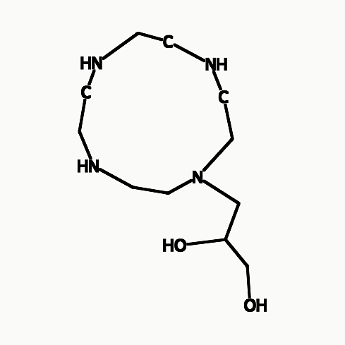 OCC(O)CN1CCNCCNCCNCC1